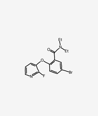 CCN(CC)C(=O)c1cc(Br)ccc1Oc1cccnc1F